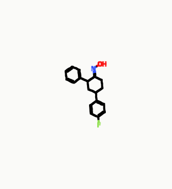 ON=C1CCC(c2ccc(F)cc2)CC1c1ccccc1